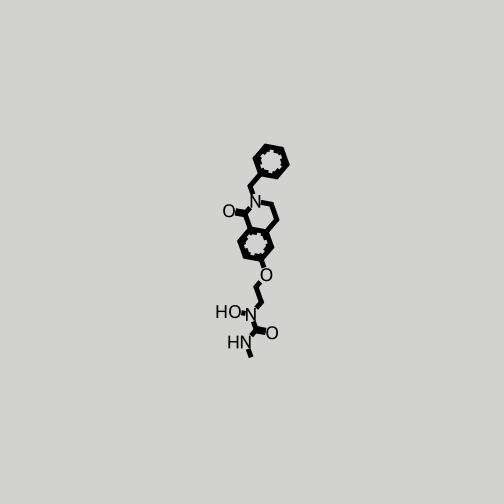 CNC(=O)N(O)CCOc1ccc2c(c1)CCN(Cc1ccccc1)C2=O